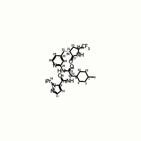 CC1CCC([C@H](NC(=O)c2ccnn2C(C)C)C(=O)Nc2cc(C[C@@H]3C[C@@H](C(F)(F)F)NC3=O)ccn2)CC1